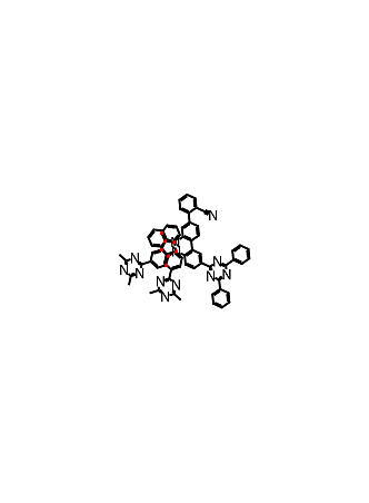 Cc1nc(C)nc(-c2ccc3c(c2)c2ccccc2n3-c2ccc(-c3nc(-c4ccccc4)nc(-c4ccccc4)n3)cc2-c2ccc(-c3ccccc3C#N)cc2-n2c3ccccc3c3cc(-c4nc(C)nc(C)n4)ccc32)n1